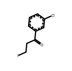 O=C(CCI)c1cccc(Cl)c1